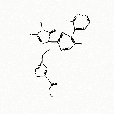 COC(=O)c1cc(CC[C@@]2(c3ccc(F)c(-c4cccnc4F)c3)N=C(N)N(C)C2=O)c[nH]1